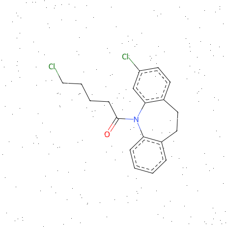 O=C(CCCCCl)N1c2ccccc2CCc2ccc(Cl)cc21